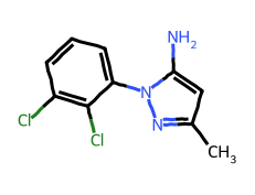 Cc1cc(N)n(-c2cccc(Cl)c2Cl)n1